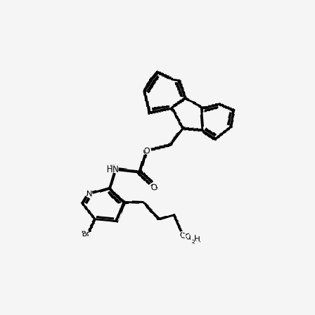 O=C(O)CCCc1cc(Br)cnc1NC(=O)OCC1c2ccccc2-c2ccccc21